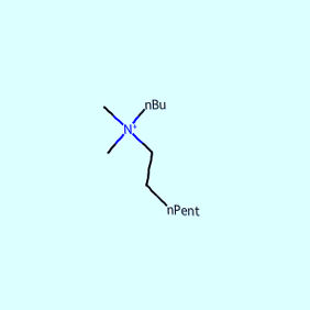 CCCCCCC[N+](C)(C)CCCC